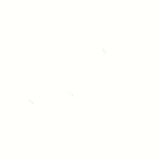 CC(=O)c1ccc(C(=O)NCCCN)cc1CN